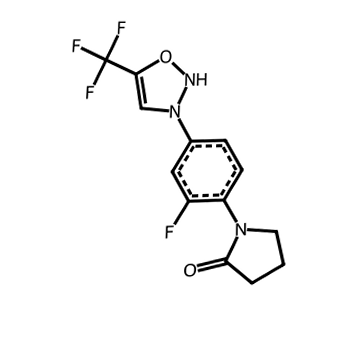 O=C1CCCN1c1ccc(N2C=C(C(F)(F)F)ON2)cc1F